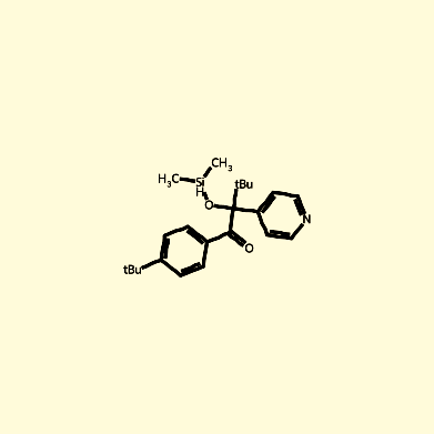 C[SiH](C)OC(C(=O)c1ccc(C(C)(C)C)cc1)(c1ccncc1)C(C)(C)C